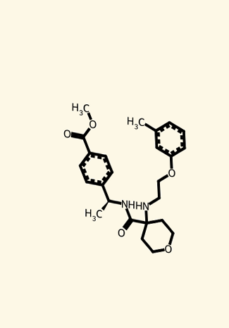 COC(=O)c1ccc([C@H](C)NC(=O)C2(NCCOc3cccc(C)c3)CCOCC2)cc1